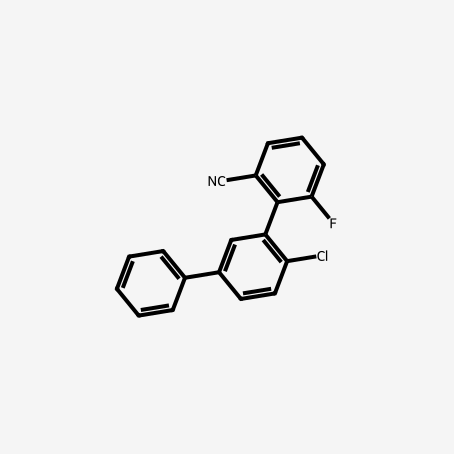 N#Cc1cccc(F)c1-c1cc(-c2ccccc2)ccc1Cl